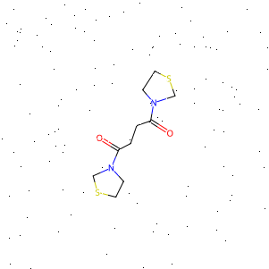 O=C(CCC(=O)N1CCSC1)N1CCSC1